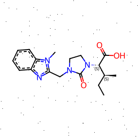 CC[C@H](C)[C@@H](C(=O)O)N1CCN(Cc2nc3ccccc3n2C)C1=O